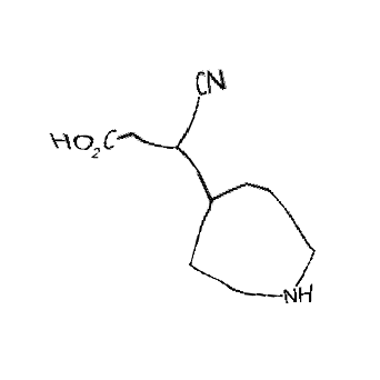 N#CC(C(=O)O)C1CCNCC1